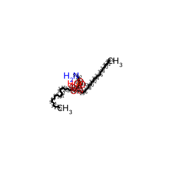 CC/C=C\C/C=C\C/C=C\C/C=C\C/C=C\CCCC(=O)O[C@H](CO/C=C\CCCCCCCCCCCCCCCCCC)COP(=O)(O)OCCN